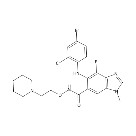 Cn1cnc2c(F)c(Nc3ccc(Br)cc3Cl)c(C(=O)NOCCN3CCCCC3)cc21